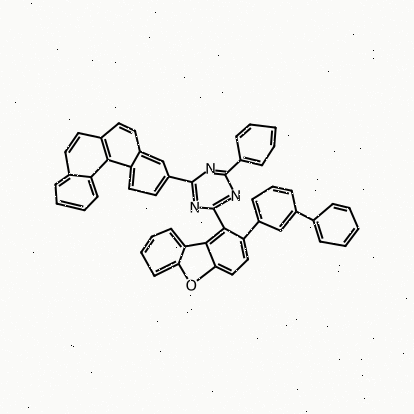 c1ccc(-c2cccc(-c3ccc4oc5ccccc5c4c3-c3nc(-c4ccccc4)nc(-c4ccc5c(ccc6ccc7ccccc7c65)c4)n3)c2)cc1